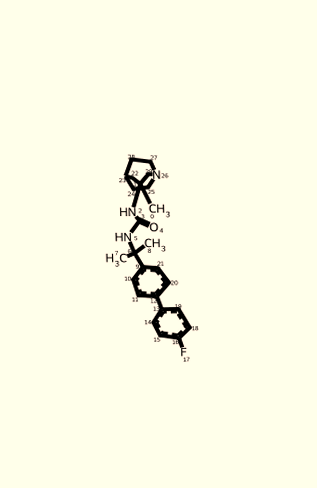 CC1(NC(=O)NC(C)(C)c2ccc(-c3ccc(F)cc3)cc2)CC2CCN(CC2)C1